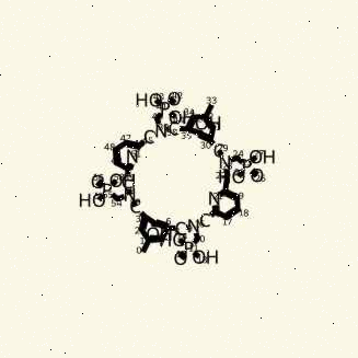 Cc1cc2c(O)c(c1)CN(CP(=O)(O)O)Cc1cccc(n1)CN(CP(=O)(O)O)Cc1cc(C)cc(c1O)CN(CP(=O)(O)O)Cc1cccc(n1)CN(CP(=O)(O)O)C2